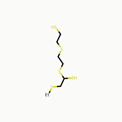 CCSCC(S)SCCSCCS